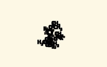 CC(=O)[O-].CC(C)Oc1ccc(B2OC(C)(C)C(C)(C)O2)cc1F.[K+]